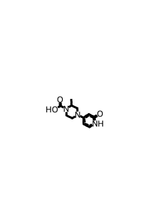 CC1CN(c2cc[nH]c(=O)c2)CCN1C(=O)O